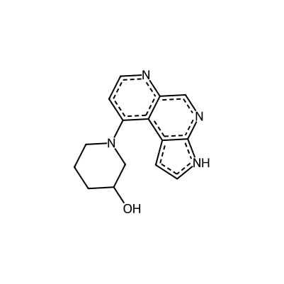 OC1CCCN(c2ccnc3cnc4[nH]ccc4c23)C1